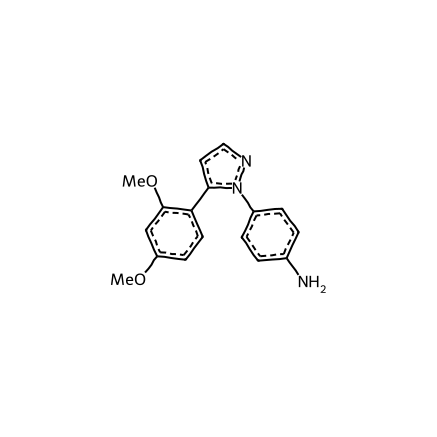 COc1ccc(-c2ccnn2-c2ccc(N)cc2)c(OC)c1